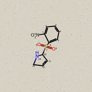 O=[N+]([O-])c1ccccc1S(=O)(=O)C1C=CCN1